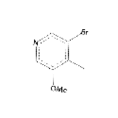 COc1cncc(Br)c1C